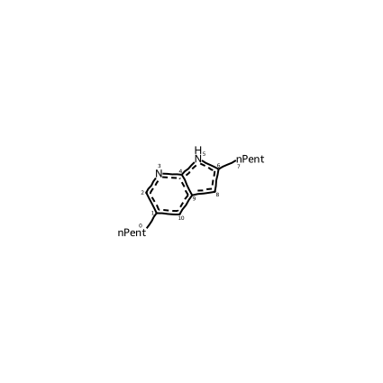 CCCCCc1cnc2[nH]c(CCCCC)cc2c1